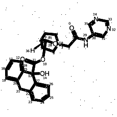 O=C(C[N+]12CCC(CC1)[C@@H](OC(=O)C1(O)c3ccccc3Cc3ccccc31)C2)Nc1cncnc1